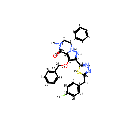 CN1C[C@H](c2ccccc2)n2nc(-c3nnc(Cc4ccc(F)cc4)s3)c(OCc3ccccc3)c2C1=O